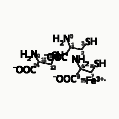 NC(CS)C(=O)[O-].NC(CS)C(=O)[O-].NC(CS)C(=O)[O-].[Fe+3]